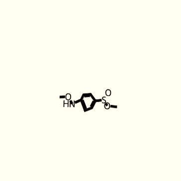 CONc1ccc(S(=O)OC)cc1